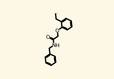 [CH2]Cc1ccccc1OCC(=O)NCc1ccccc1